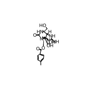 Cc1ccc(C(=O)O[C@H]2CN3C(=O)N[C@@H](CO)[C@@H]4NC(=N)N[C@@]43C2(O)O)cc1